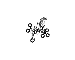 CC(C)(C)OC(=O)Nc1nc(/C(=N/OC(c2ccccc2)(c2ccccc2)c2ccccc2)C(=O)N[C@@H]2C(=O)N3C(C(=O)OC(c4ccccc4)c4ccccc4)=C(SCSc4ccccn4)CS[C@H]23)cs1